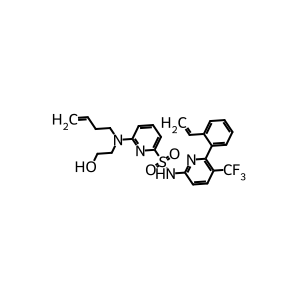 C=CCCN(CCO)c1cccc(S(=O)(=O)Nc2ccc(C(F)(F)F)c(-c3ccccc3C=C)n2)n1